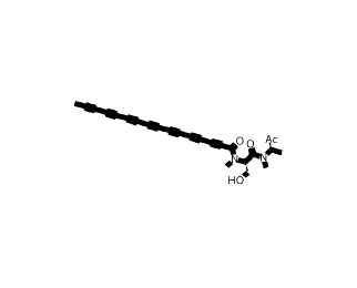 CC#CC#CC#CC#CC#CC#CC#CC(=O)N(C)[C@@H](CO)C(=O)N(C)[C@@H](C)C(C)=O